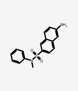 CN(c1ccccc1)S(=O)(=O)c1ccc2cc(N)ccc2c1